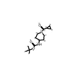 CC(C)(C)OC(=O)NC1CCN(C(=O)C2CC2)CC1